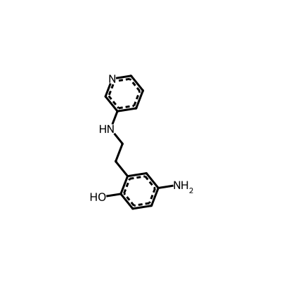 Nc1ccc(O)c(CCNc2cccnc2)c1